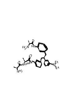 CCN(CC)c1cccc([C](Cc2cccc(NC(=O)[C@H](C)N)c2)Cc2cccc(NC(=O)[C@H](C)NC(=O)[C@H](C)N)c2)c1